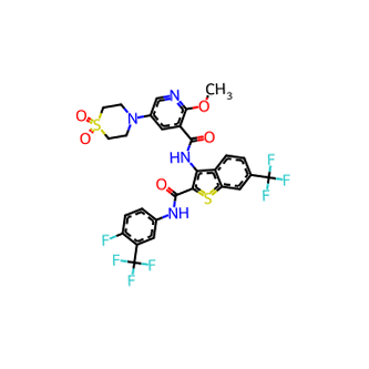 COc1ncc(N2CCS(=O)(=O)CC2)cc1C(=O)Nc1c(C(=O)Nc2ccc(F)c(C(F)(F)F)c2)sc2cc(C(F)(F)F)ccc12